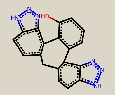 Oc1cccc2c1-c1c(ccc3[nH]nnc13)Cc1ccc3[nH]nnc3c1-2